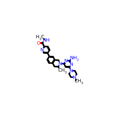 CNC(=O)c1ccc(-c2ccc3c(c2)CN(c2cc(N4CCN(C)CC4)nc(N)n2)C(C)C3)cn1